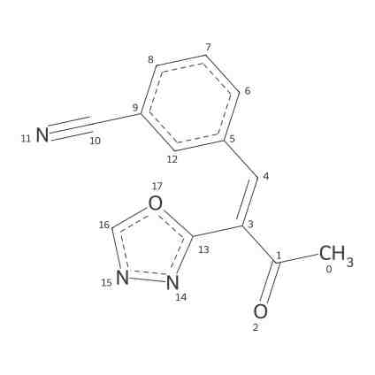 CC(=O)/C(=C/c1cccc(C#N)c1)c1nnco1